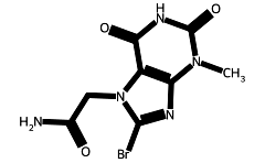 Cn1c(=O)[nH]c(=O)c2c1nc(Br)n2CC(N)=O